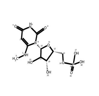 CNc1cc(=O)[nH]c(=O)n1[C@@H]1O[C@H](COP(=O)(O)O)[C@H](O)C1O